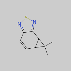 CC1(C)C2C=Cc3nsnc3C21